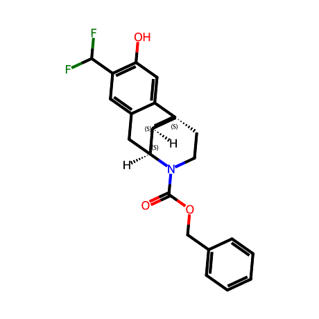 O=C(OCc1ccccc1)N1CC[C@@]23CCCC[C@@H]2[C@@H]1Cc1cc(C(F)F)c(O)cc13